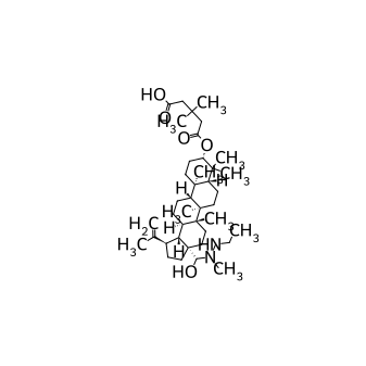 C=C(C)[C@@H]1CC[C@]2(C(O)N(C)NCC)CC[C@]3(C)[C@H](CC[C@@H]4[C@@]5(C)CC[C@H](OC(=O)CC(C)(C)CC(=O)O)C(C)(C)[C@@H]5CC[C@]43C)[C@@H]12